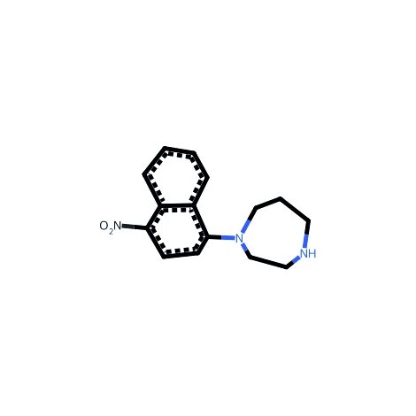 O=[N+]([O-])c1ccc(N2CCCNCC2)c2ccccc12